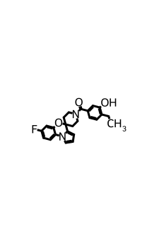 CCc1ccc(C(=O)N2CCC3(CC2)Oc2cc(F)ccc2-n2cccc23)cc1O